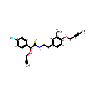 C#CCOC(C(=S)NCCc1ccc(OCC#CCC)c(OC)c1)c1ccc(F)cc1